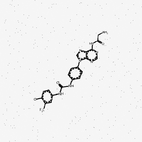 NCC(=O)Nc1ncnc2c1ncn2-c1ccc(NC(=O)Nc2ccc(Cl)c(C(F)(F)F)c2)cc1